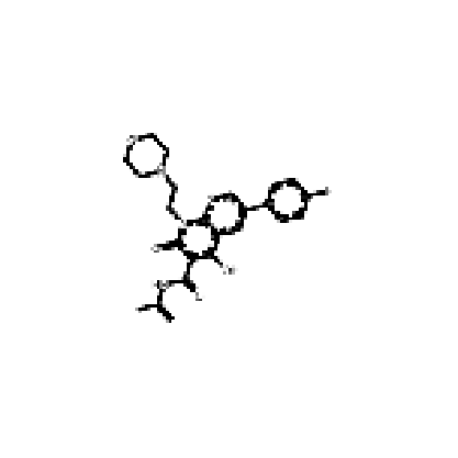 C=C(C)NC(=O)c1c(O)c2cc(-c3ccc(F)cc3)cnc2n(CCN2CCOCC2)c1=O